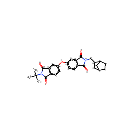 CC(C)(C)N1C(=O)c2ccc(Oc3ccc4c(c3)C(=O)N(CC3CC5CCC3C5)C4=O)cc2C1=O